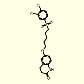 O=C1CCc2cc(OCCCCCS(=O)(=O)c3ccc(Cl)c(Cl)c3)ccc2N1